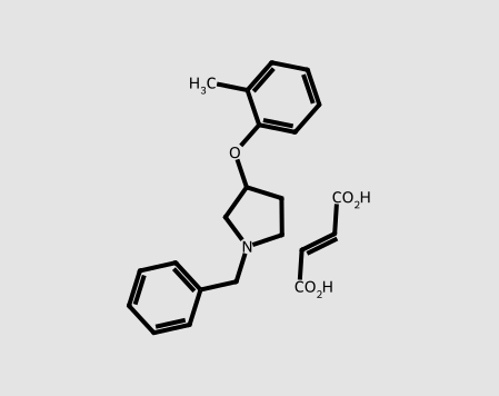 Cc1ccccc1OC1CCN(Cc2ccccc2)C1.O=C(O)C=CC(=O)O